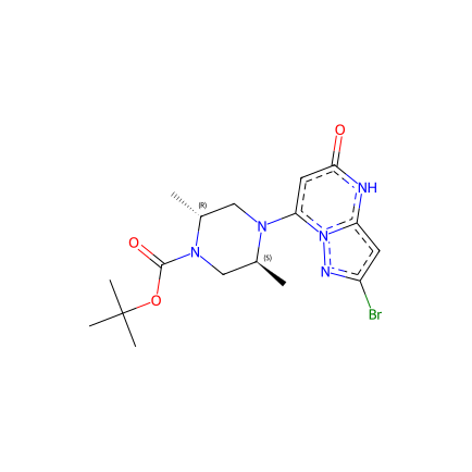 C[C@@H]1CN(c2cc(=O)[nH]c3cc(Br)nn23)[C@@H](C)CN1C(=O)OC(C)(C)C